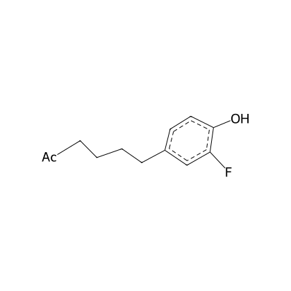 CC(=O)CCCCc1ccc(O)c(F)c1